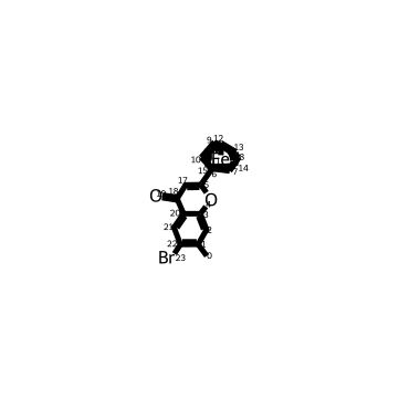 Cc1cc2oc([C]34[CH]5[CH]6[CH]7[CH]3[Fe]6754389%10[CH]4[CH]3[CH]8[CH]9[CH]4%10)cc(=O)c2cc1Br